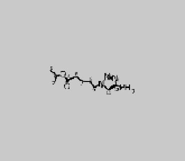 CC(C)OC(=O)CCCCn1cc(P)nn1